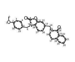 COc1ccc(Cn2c(=O)oc3cc(Cn4ccc5ccccc5c4=O)ccc32)cc1